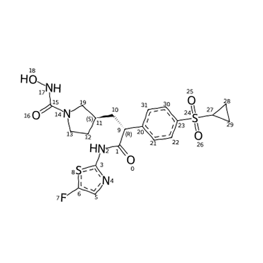 O=C(Nc1ncc(F)s1)[C@H](C[C@H]1CCN(C(=O)NO)C1)c1ccc(S(=O)(=O)C2CC2)cc1